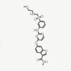 CNC(=O)c1coc2cc(Oc3ccnc(Nc4cccc(S(=O)(=O)CNCCOC)c4)n3)ccc12